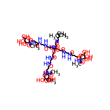 CC(=O)NC1CC(O)[C@H](O)C(CO)CO[C@@H]1OCCCCC(=O)NCCCNC(=O)CCOCC(COCCC(=O)NCCCNC(=O)CCCCO[C@H]1OCC(CO)[C@@H](O)C(O)CC1NC(C)=O)(COCCC(=O)NCCCNC(=O)CCCCO[C@H]1OCC(CO)[C@@](C)(O)C(O)CC1NC(C)=O)NC(=O)CON=CCCC(C)(C)C